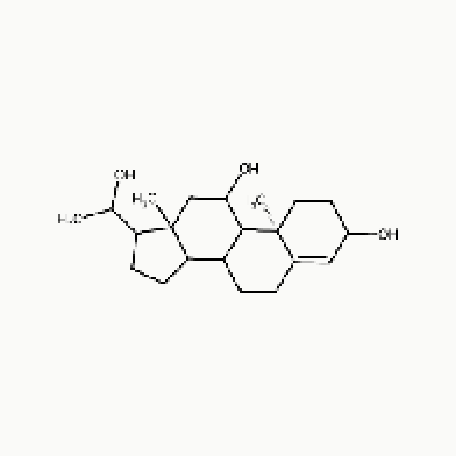 CC(O)C1CCC2C3CCC4=CC(O)CC[C@]4(C)C3C(O)CC12C